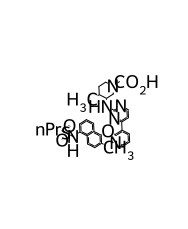 CCCS(=O)(=O)Nc1cccc2c(Oc3ncccc3-c3ccnc(NC4CN(C(=O)O)CCC4C)n3)c(C)ccc12